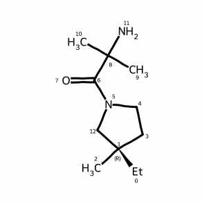 CC[C@]1(C)CCN(C(=O)C(C)(C)N)C1